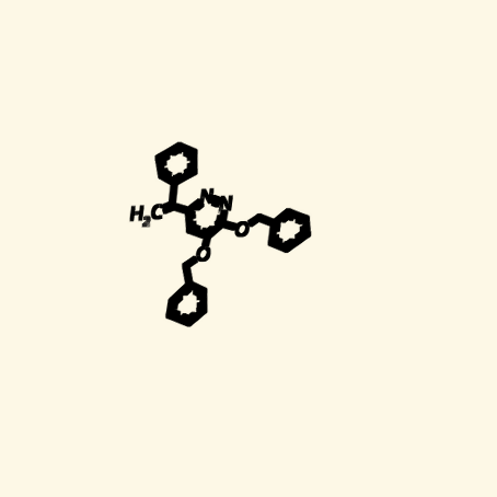 C=C(c1ccccc1)c1cc(OCc2ccccc2)c(OCc2ccccc2)nn1